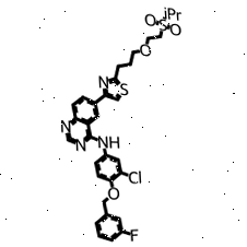 CC(C)S(=O)(=O)CCOCCCc1nc(-c2ccc3ncnc(Nc4ccc(OCc5cccc(F)c5)c(Cl)c4)c3c2)cs1